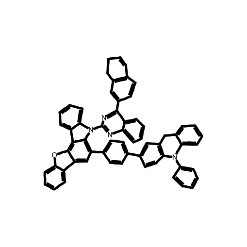 C1=Cc2ccc(-c3nc(-n4c5ccccc5c5c6oc7ccccc7c6cc(-c6ccc(-c7ccc8c(c7)Cc7ccccc7N8c7ccccc7)cc6)c54)nc4ccccc34)cc2CC1